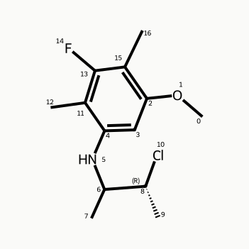 COc1cc(NC(C)[C@@H](C)Cl)c(C)c(F)c1C